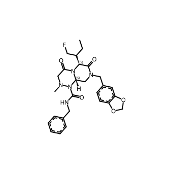 CCC(CF)[C@H]1C(=O)N(Cc2ccc3c(c2)OCO3)C[C@H]2N1C(=O)CN(C)N2C(=O)NCc1ccccc1